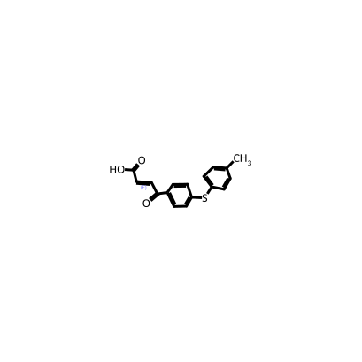 Cc1ccc(Sc2ccc(C(=O)/C=C/C(=O)O)cc2)cc1